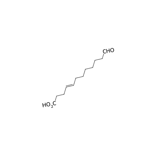 O=CCCCCCCC=CCCC(=O)O